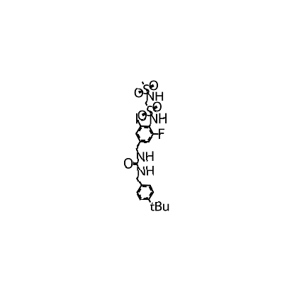 CC(C)(C)c1ccc(CNC(=O)NCc2cc(F)c(NS(=O)(=O)CNS(C)(=O)=O)c(I)c2)cc1